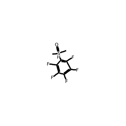 C[SH](C)(=O)c1c(F)c(F)c(F)c(F)c1F